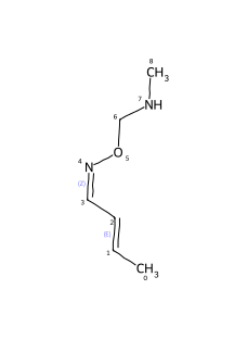 C/C=C/C=N\OCNC